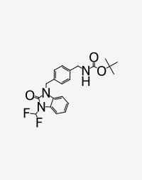 CC(C)(C)OC(=O)NCc1ccc(Cn2c(=O)n(C(F)F)c3ccccc32)cc1